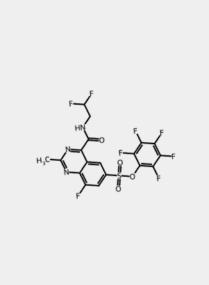 Cc1nc(C(=O)NCC(F)F)c2cc(S(=O)(=O)Oc3c(F)c(F)c(F)c(F)c3F)cc(F)c2n1